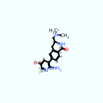 CN(C)CC1Cc2cc(-c3cc(Br)c(F)nc3N)ccc2C(=O)N1